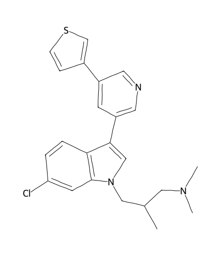 CC(CN(C)C)Cn1cc(-c2cncc(-c3ccsc3)c2)c2ccc(Cl)cc21